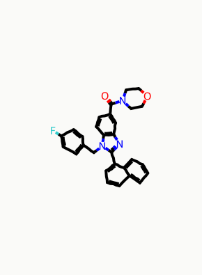 O=C(c1ccc2c(c1)nc(-c1cccc3ccccc13)n2Cc1ccc(F)cc1)N1CCOCC1